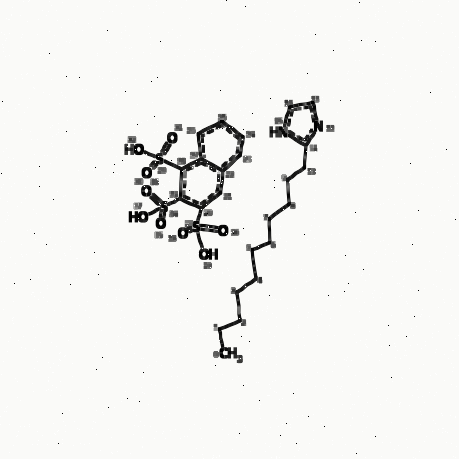 CCCCCCCCCCCc1ncc[nH]1.O=S(=O)(O)c1cc2ccccc2c(S(=O)(=O)O)c1S(=O)(=O)O